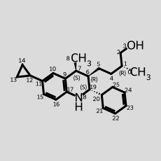 C[C@@H](CO)CC[C@@H]1[C@H](C)c2cc(C3CC3)ccc2N[C@H]1C1C=CC=CC1